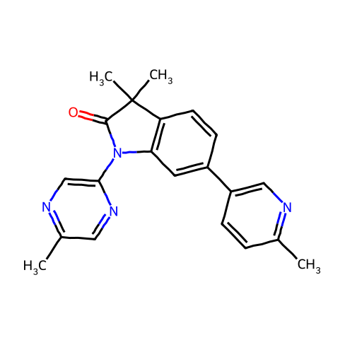 Cc1ccc(-c2ccc3c(c2)N(c2cnc(C)cn2)C(=O)C3(C)C)cn1